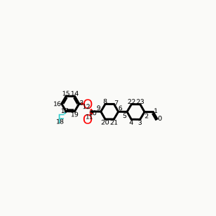 C=CC1CCC(C2CCC(C(=O)Oc3cccc(F)c3)CC2)CC1